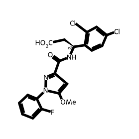 COc1cc(C(=O)N[C@@H](CC(=O)O)c2ccc(Cl)cc2Cl)nn1-c1ccccc1F